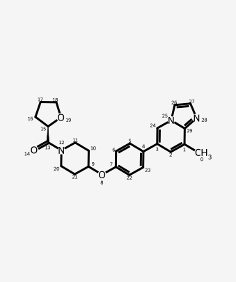 Cc1cc(-c2ccc(OC3CCN(C(=O)[C@H]4CCCO4)CC3)cc2)cn2ccnc12